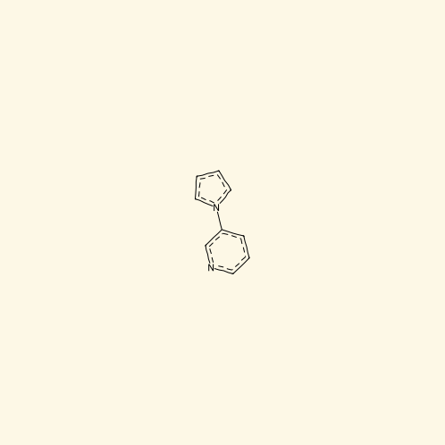 c1cncc(-n2cccc2)c1